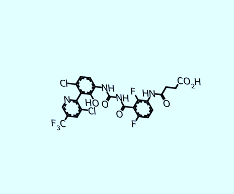 O=C(O)CCC(=O)Nc1ccc(F)c(C(=O)NC(=O)Nc2ccc(Cl)c(-c3ncc(C(F)(F)F)cc3Cl)c2O)c1F